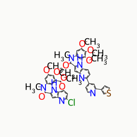 COC(=O)c1cc(N(C)C(=O)c2cc3nc(Cl)ccc3[nH]2)cc(OC)c1OC.COc1cc(N(C)C(=O)c2cc3nc(-c4ccnc(-c5ccsc5)c4)ccc3[nH]2)cc(OC)c1OC